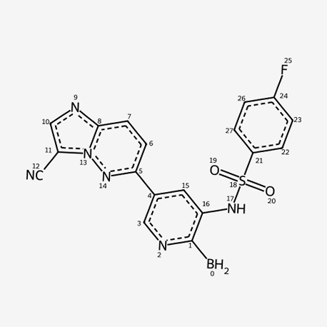 Bc1ncc(-c2ccc3ncc(C#N)n3n2)cc1NS(=O)(=O)c1ccc(F)cc1